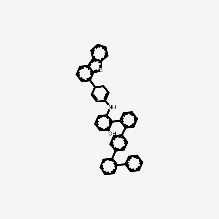 Oc1cccc(NC2=CCC(c3cccc4c3sc3ccccc34)C=C2)c1-c1ccccc1-c1ccc(-c2ccccc2-c2ccccc2)cc1